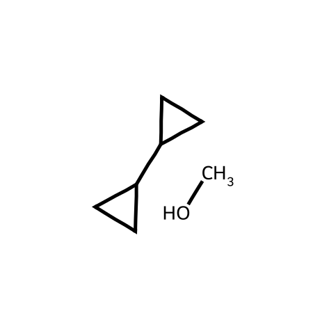 C1CC1C1CC1.CO